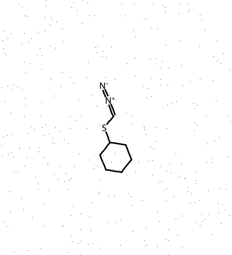 [N-]=[N+]=CSC1CCCCC1